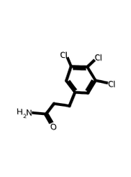 NC(=O)CCc1cc(Cl)c(Cl)c(Cl)c1